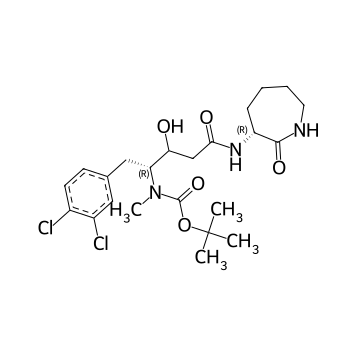 CN(C(=O)OC(C)(C)C)[C@H](Cc1ccc(Cl)c(Cl)c1)C(O)CC(=O)N[C@@H]1CCCCNC1=O